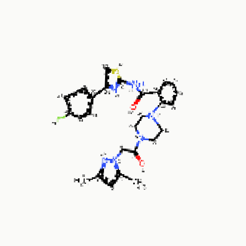 Cc1cc(C)n(CC(=O)N2CCN(c3ccccc3C(=O)Nc3nc(-c4ccc(F)cc4)cs3)CC2)n1